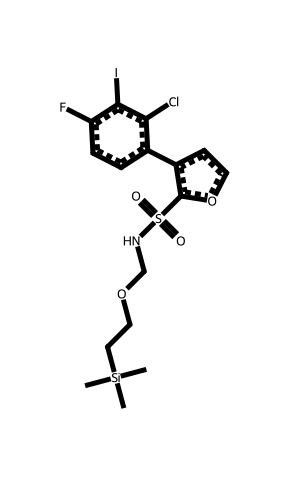 C[Si](C)(C)CCOCNS(=O)(=O)c1occc1-c1ccc(F)c(I)c1Cl